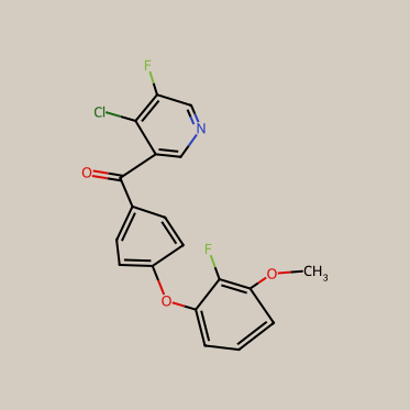 COc1cccc(Oc2ccc(C(=O)c3cncc(F)c3Cl)cc2)c1F